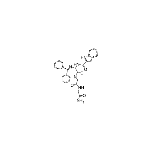 NC(=O)CNC(=O)CN1C(=O)C(NC(=O)c2cc3ccccc3[nH]2)N=C(c2ccccc2)c2ccccc21